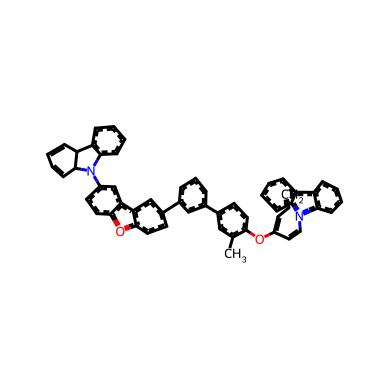 C=C/C=C(\C=C/n1c2ccccc2c2ccccc21)Oc1ccc(-c2cccc(-c3ccc4oc5ccc(N6c7ccccc7C7C=CC=CC76)cc5c4c3)c2)cc1C